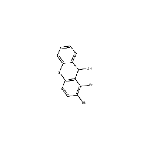 CCc1ccc2c(c1CC)C(O)c1ccccc1S2